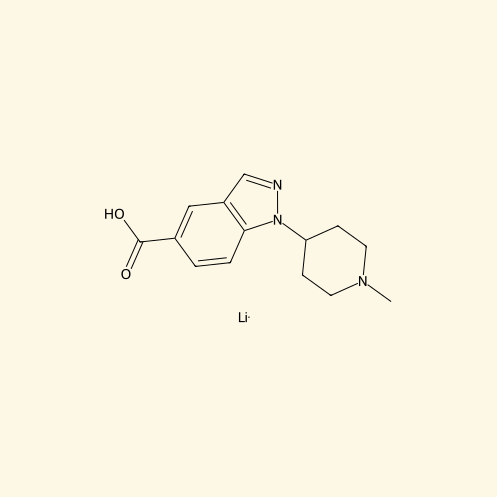 CN1CCC(n2ncc3cc(C(=O)O)ccc32)CC1.[Li]